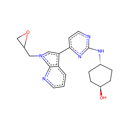 O[C@H]1CC[C@H](Nc2nccc(-c3cn(CC4CO4)c4ncccc34)n2)CC1